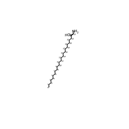 CCCCCCCCCCCCCCCCCCCCCCCC(O)=CN